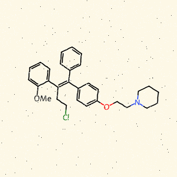 COc1ccccc1C(CCCl)=C(c1ccccc1)c1ccc(OCCN2CCCCC2)cc1